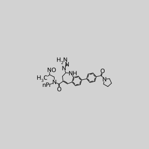 CCCN(CC(C)N=O)C(=O)C1=Cc2ccc(-c3ccc(C(=O)N4CCCC4)cc3)cc2NC(N=NN)C1